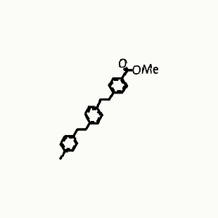 COC(=O)c1ccc(CCc2ccc(CCc3ccc(C)cc3)cc2)cc1